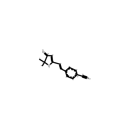 CC1(C)OC(/C=C/c2ccc(C#N)cc2)=CC1=O